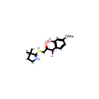 COc1ccc(C(I)C(=O)CSC2=NCCC2(C)C)c(Br)c1